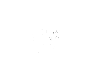 O=C1CC(c2ccccc2-c2ccccc2)N1P(=O)(O)O